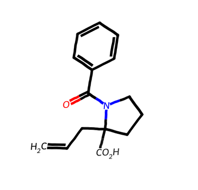 C=CCC1(C(=O)O)CCCN1C(=O)c1ccccc1